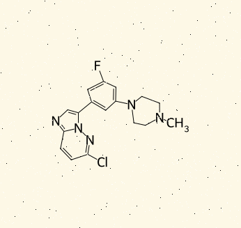 CN1CCN(c2cc(F)cc(-c3cnc4ccc(Cl)nn34)c2)CC1